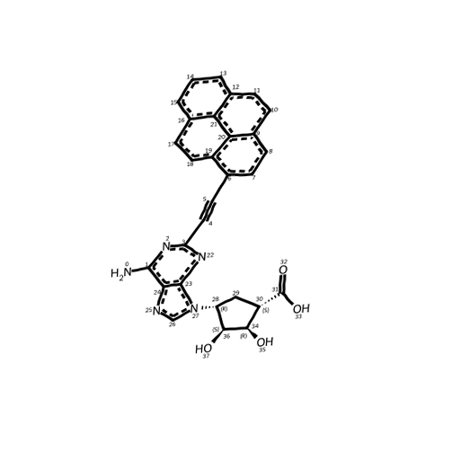 Nc1nc(C#Cc2ccc3ccc4cccc5ccc2c3c45)nc2c1ncn2[C@@H]1C[C@H](C(=O)O)[C@@H](O)[C@H]1O